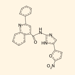 O=C(Nc1ncc(-c2ccc([N+](=O)[O-])o2)[nH]1)c1cc(-c2ccccc2)nc2ccccc12